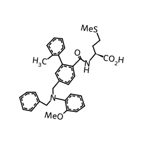 COc1ccccc1N(Cc1ccccc1)Cc1ccc(C(=O)N[C@@H](CCSC)C(=O)O)c(-c2ccccc2C)c1